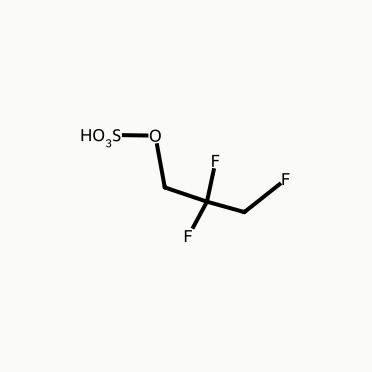 O=S(=O)(O)OCC(F)(F)CF